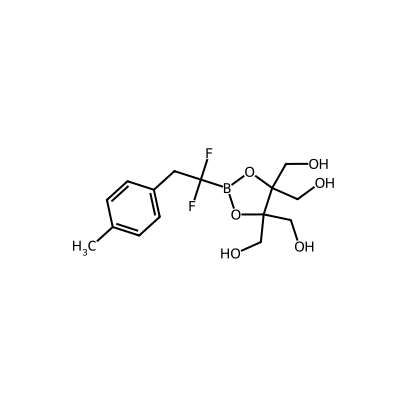 Cc1ccc(CC(F)(F)B2OC(CO)(CO)C(CO)(CO)O2)cc1